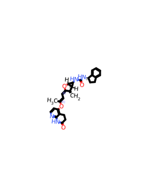 C=C1/C(=C\C=C(/C)Oc2ccnc3c2CCC(=O)N3)O[C@@H]2C(NC(=O)N[C@H]3CCc4ccccc43)[C@H]12